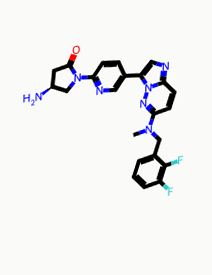 CN(Cc1cccc(F)c1F)c1ccc2ncc(-c3ccc(N4C[C@@H](N)CC4=O)nc3)n2n1